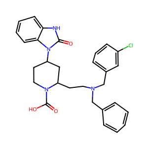 O=C(O)N1CCC(n2c(=O)[nH]c3ccccc32)CC1CCN(Cc1ccccc1)Cc1cccc(Cl)c1